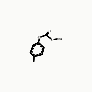 [CH2]c1ccc(NC(=O)OC(C)(C)C)cc1